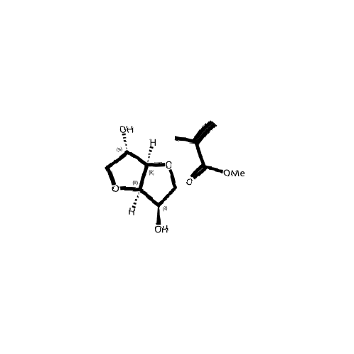 C=C(C)C(=O)OC.O[C@@H]1CO[C@H]2[C@@H]1OC[C@@H]2O